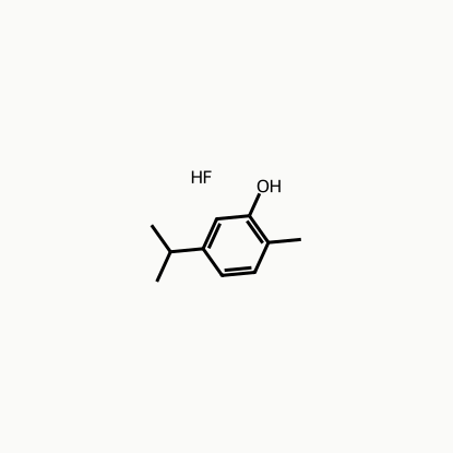 Cc1ccc(C(C)C)cc1O.F